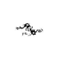 COc1ccc(C(=O)O)c(COc2cccc(CCS)c2C(=O)O)c1